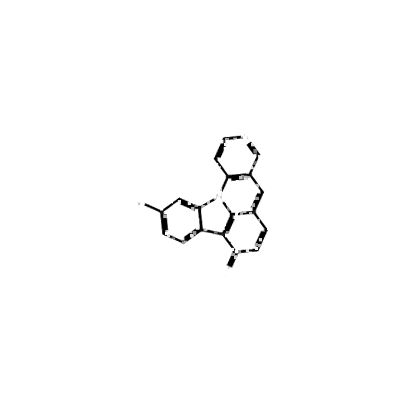 O=c1ccc2cc3cnccc3n3c4cc(Br)ccc4c1c23